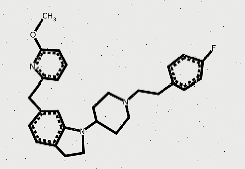 COc1cccc(Cc2ccc3c(c2)N(C2CCN(CCc4ccc(F)cc4)CC2)CC3)n1